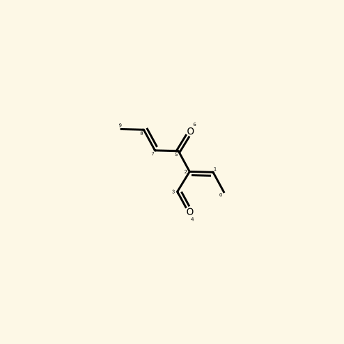 CC=C([C]=O)C(=O)/C=C/C